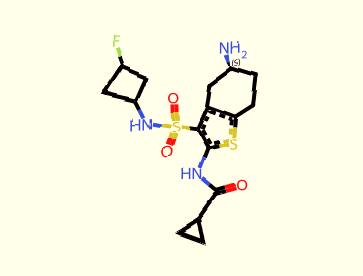 N[C@H]1CCc2sc(NC(=O)C3CC3)c(S(=O)(=O)NC3CC(F)C3)c2C1